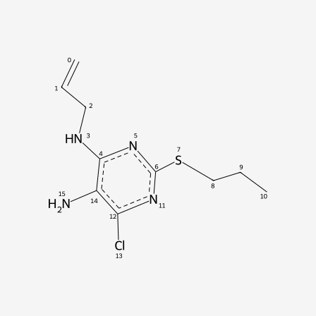 C=CCNc1nc(SCCC)nc(Cl)c1N